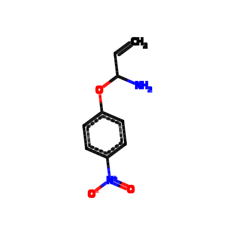 C=CC(N)Oc1ccc([N+](=O)[O-])cc1